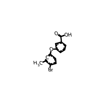 Cc1cc(Oc2cccc(C(=O)O)c2)ccc1Br